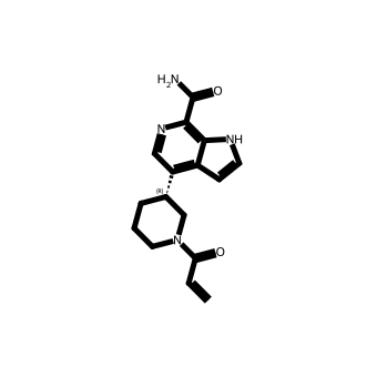 C=CC(=O)N1CCC[C@H](c2cnc(C(N)=O)c3[nH]ccc23)C1